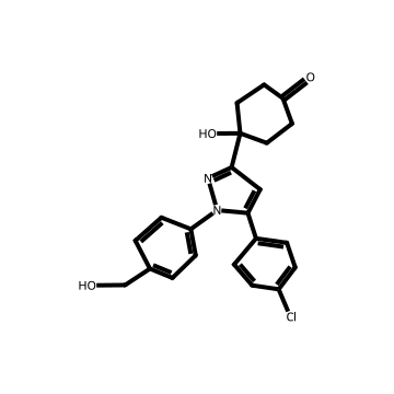 O=C1CCC(O)(c2cc(-c3ccc(Cl)cc3)n(-c3ccc(CO)cc3)n2)CC1